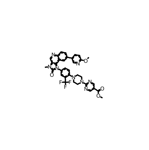 COC(=O)c1cnc(N2CCN(c3ccc(-n4c(=O)n(C)c5cnc6ccc(-c7ccc(OC)nc7)cc6c54)cc3C(F)(F)F)CC2)nc1